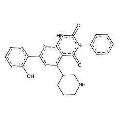 O=c1[nH]c2nc(-c3ccccc3O)cc(C3CCCNC3)c2c(=O)n1-c1ccccc1